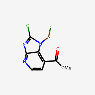 COC(=O)c1ccnc2nc(Cl)n(SF)c12